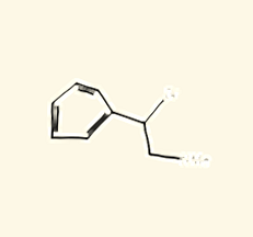 CNCC(Br)c1ccccc1